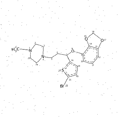 CN1CCN(CCC(Oc2cccc3c2OCO3)c2ccc(Br)s2)CC1